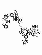 Cc1ncsc1-c1ccc(CNC(=O)[C@@H]2C[C@@H](O)CN2C(=O)C(NC(=O)C2(F)CC2)C(C)(C)C)c(OCC(=O)NCCCCCC(=O)NCCN(C)C(=O)c2ccc(-c3cc(C(=O)N[C@@H]4CCc5ccccc54)no3)cc2O)c1